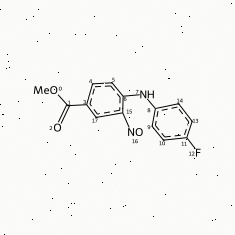 COC(=O)c1ccc(Nc2ccc(F)cc2)c(N=O)c1